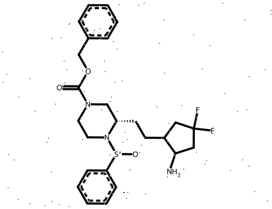 NC1CC(F)(F)CC1CC[C@H]1CN(C(=O)OCc2ccccc2)CCN1[S+]([O-])c1ccccc1